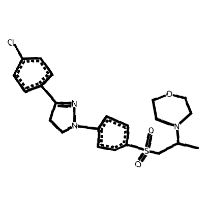 CC(CS(=O)(=O)c1ccc(N2CCC(c3ccc(Cl)cc3)=N2)cc1)N1CCOCC1